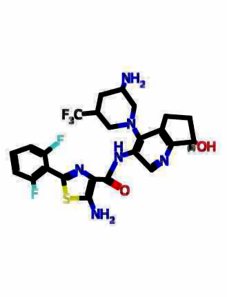 Nc1sc(-c2c(F)cccc2F)nc1C(=O)Nc1cnc2c(c1N1CC(N)CC(C(F)(F)F)C1)CC[C@H]2O